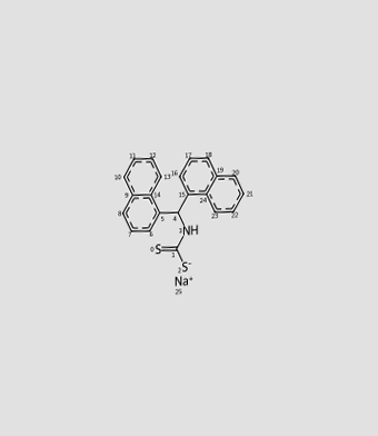 S=C([S-])NC(c1cccc2ccccc12)c1cccc2ccccc12.[Na+]